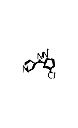 Cn1nc(-c2ccncc2)c2cc(Cl)ccc21